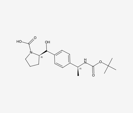 C[C@H](NC(=O)OC(C)(C)C)c1ccc(C(O)[C@H]2CCCN2C(=O)O)cc1